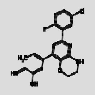 C/C=C(\C=C(\O)C=N)c1cc(-c2cc(Cl)ccc2F)nc2c1OCCN2